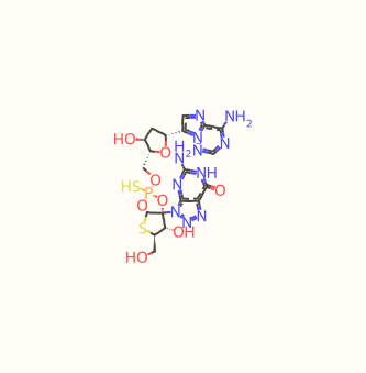 Nc1nc2c(nnn2[C@]2(OP(=O)(S)OC[C@H]3O[C@@H](c4cnc5c(N)ncnn45)C[C@@H]3O)CS[C@H](CO)[C@H]2O)c(=O)[nH]1